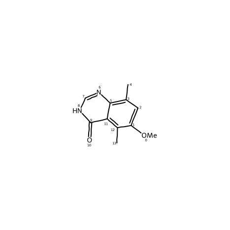 COc1cc(C)c2nc[nH]c(=O)c2c1C